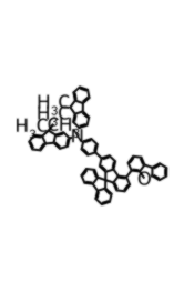 CC1(C)c2ccccc2-c2ccc(N(c3ccc(-c4ccc5c(c4)C4(c6ccccc6-c6ccccc64)c4cccc(-c6cccc7c6oc6ccccc67)c4-5)cc3)c3ccc4c(c3)C(C)(C)c3ccccc3-4)cc21